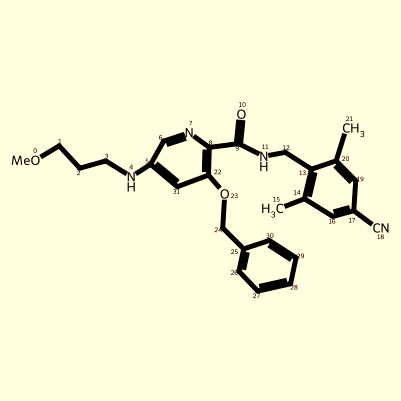 COCCCNc1cnc(C(=O)NCc2c(C)cc(C#N)cc2C)c(OCc2ccccc2)c1